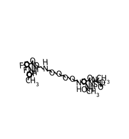 CC(=O)Nc1cc(NCCOCCOCCOCCOCCNCCCONC(=O)c2ccc(F)c(F)c2Nc2ccc(C)cc2F)ccc1C(=O)Nc1nc(C)c([N+](=O)[O-])s1